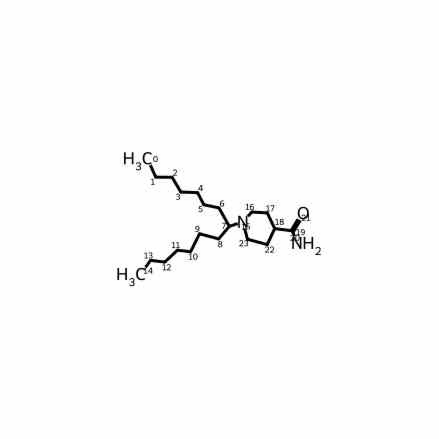 CCCCCCCC(CCCCCCC)N1CCC(C(N)=O)CC1